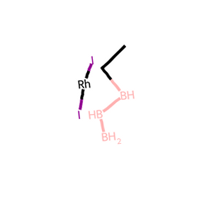 BBBCC.[I][Rh][I]